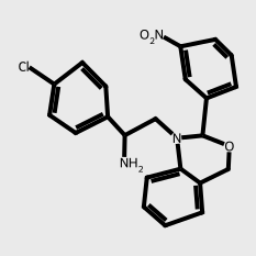 NC(CN1c2ccccc2COC1c1cccc([N+](=O)[O-])c1)c1ccc(Cl)cc1